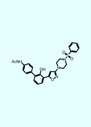 CC(=O)Nc1ccc(-c2cccc(-c3cc(N4CCN(S(=O)(=O)c5ccccc5)CC4)no3)c2O)cc1